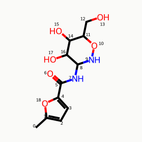 Cc1ccc(C(=O)NC2NOC(CO)C(O)C2O)o1